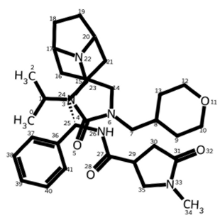 CC(C)N1C(=O)N(CC2CCOCC2)CC12CC1CCC(C2)N1CC[C@H](NC(=O)C1CC(=O)N(C)C1)c1ccccc1